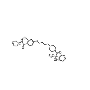 O=C(N[C@H]1CCOC1)c1ccc(OCCCCC2CCN(C(=O)C(O)(c3ccccc3)C(F)(F)F)CC2)cc1Cl